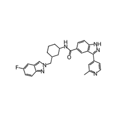 Cc1cc(-c2n[nH]c3ccc(C(=O)NC4CCCC(Cn5cc6cc(F)ccc6n5)C4)cc23)ccn1